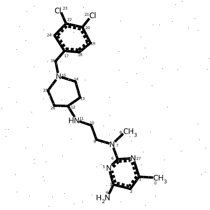 Cc1cc(N)nc(N(C)CCNC2CCN(Cc3ccc(Cl)c(Cl)c3)CC2)n1